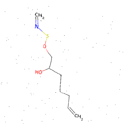 C=CCCCC(O)COSN=C